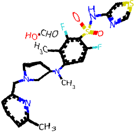 Cc1cccc(CN2CCC(N(C)c3cc(F)c(S(=O)(=O)Nc4cscn4)c(F)c3C)C2)n1.O=CO